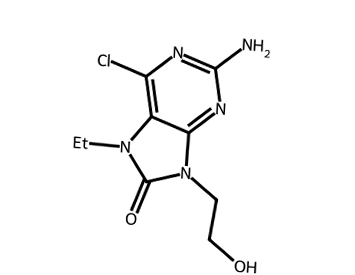 CCn1c(=O)n(CCO)c2nc(N)nc(Cl)c21